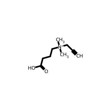 C#CC[N+](C)(C)CCCC(=O)O